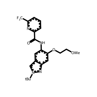 COCCOc1cc2nn(C(C)(C)C)cc2cc1NC(=O)c1cccc(C(F)(F)F)n1